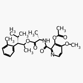 COc1ccnc(C(=O)N[C@@H](C)C(=O)O[C@@H](C)[C@H](c2ccccc2C)C(C)C)c1OC(C)=O